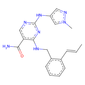 CC=Cc1ccccc1CNc1nc(Nc2cnn(C)c2)ncc1C(N)=O